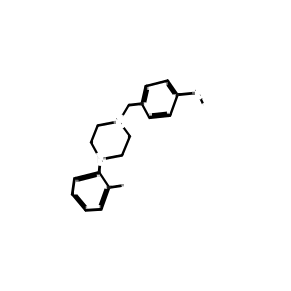 Cc1ccccc1N1CCN(Cc2ccc(NO)cc2)CC1